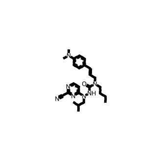 CCCCN(C/C=C/c1ccc(N(C)C)cc1)C(=O)NN(CC(C)C)c1ccnc(C#N)n1